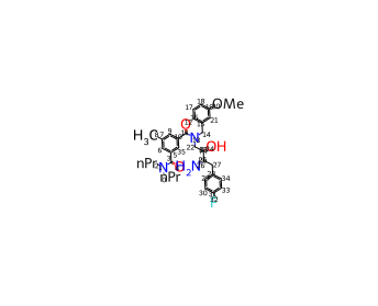 CCCN(CCC)C(=O)c1cc(C)cc(C(=O)N(Cc2cccc(OC)c2)C[C@@H](O)[C@@H](N)Cc2ccc(F)cc2)c1